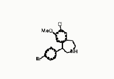 COc1cc2c(cc1Cl)CCNCC2c1ccc(Br)cc1